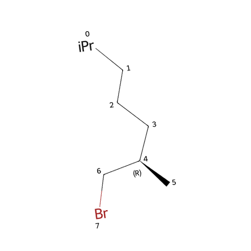 CC(C)CCC[C@@H](C)CBr